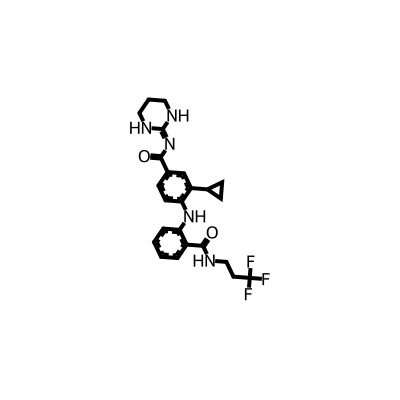 O=C(N=C1NCCCN1)c1ccc(Nc2ccccc2C(=O)NCCC(F)(F)F)c(C2CC2)c1